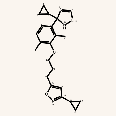 Cc1ccc(C2(C3CC3)N=CON2)c(C)c1OCCCc1cc(C2CC2)no1